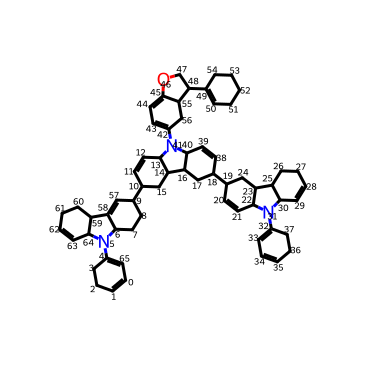 C1=CCCC(N2C3CCC(C4C=CC5C(C4)C4CC(C6C=CC7C(C6)C6CCC=CC6N7C6=CC=CCC6)C=CC4N5C4=CC=C5OCC(C6=CCCCC6)C5C4)C=C3C3CCC=CC32)=C1